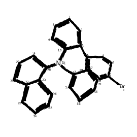 Brc1ccc(-c2ccccc2N(c2ccccc2)c2cccc3ccccc23)cc1